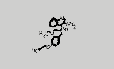 C#CCOc1ccc(C[C@@H](COCC)Nc2c(N)cnc3ccccc23)cc1